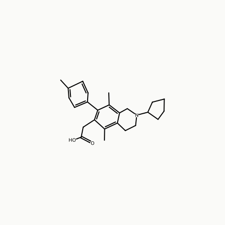 Cc1ccc(-c2c(C)c3c(c(C)c2CC(=O)O)CCN(C2CCCC2)C3)cc1